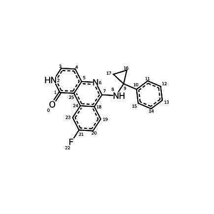 O=c1[nH]ccc2nc(NC3(c4ccccc4)CC3)c3ccc(F)cc3c12